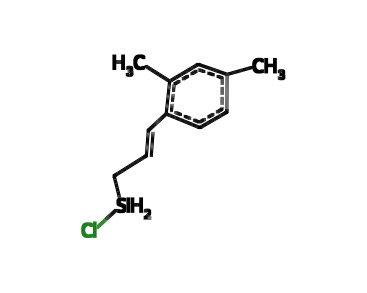 Cc1ccc(C=CC[SiH2]Cl)c(C)c1